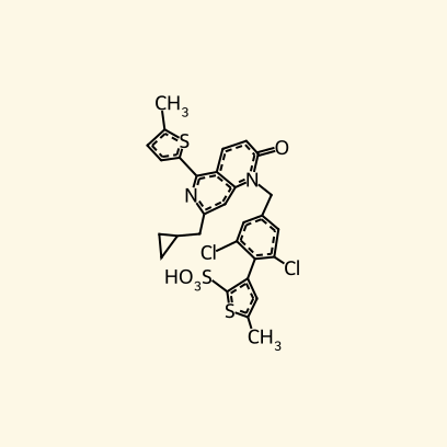 Cc1ccc(-c2nc(CC3CC3)cc3c2ccc(=O)n3Cc2cc(Cl)c(-c3cc(C)sc3S(=O)(=O)O)c(Cl)c2)s1